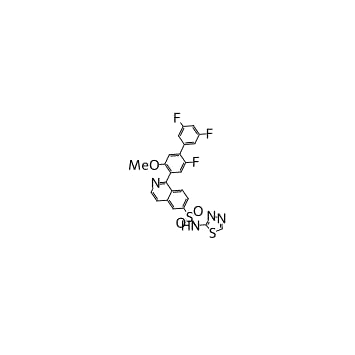 COc1cc(-c2cc(F)cc(F)c2)c(F)cc1-c1nccc2cc(S(=O)(=O)Nc3nncs3)ccc12